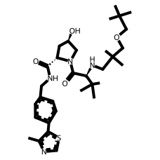 Cc1ncsc1-c1ccc(CNC(=O)[C@@H]2C[C@@H](O)CN2C(=O)[C@@H](NCC(C)(C)COCC(C)(C)C)C(C)(C)C)cc1